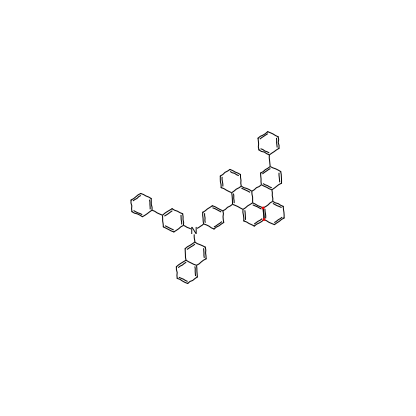 c1ccc(-c2ccc(N(c3ccc(-c4c5ccccc5c(-c5cc(-c6ccccc6)ccc5-c5ccccc5)c5ccccc45)cc3)c3ccc4ccccc4c3)cc2)cc1